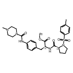 Cc1ccc(S(=O)(=O)N2CCC[C@H]2C(=O)N[C@@H](Cc2ccc(NC(=O)N3CCN(C)CC3)cc2)C(=O)OC(C)C)cc1